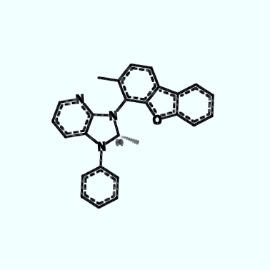 Cc1ccc2c(oc3ccccc32)c1N1c2ncccc2N(c2ccccc2)[C@H]1C